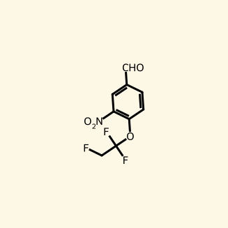 O=Cc1ccc(OC(F)(F)CF)c([N+](=O)[O-])c1